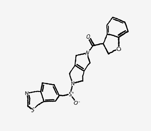 O=C(C1COc2ccccc21)N1CC2=C(C1)CN([S+]([O-])c1ccc3ncsc3c1)C2